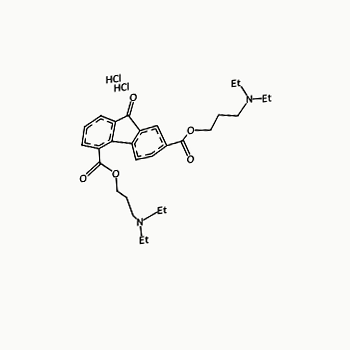 CCN(CC)CCCOC(=O)c1ccc2c(c1)C(=O)c1cccc(C(=O)OCCCN(CC)CC)c1-2.Cl.Cl